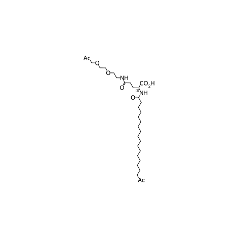 CC(=O)CCCCCCCCCCCCCCCCC(=O)N[C@@H](CCC(=O)NCCOCCOCC(C)=O)C(=O)O